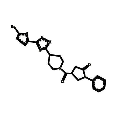 O=C([C@H]1CC(=O)N(c2ccccc2)C1)N1CCC(c2nc(-c3ccc(Br)s3)no2)CC1